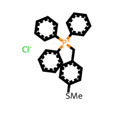 CSc1ccc(C[P+](c2ccccc2)(c2ccccc2)c2ccccc2)cc1.[Cl-]